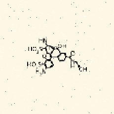 C#CCNC(=O)c1ccc(-c2c3ccc(=N)c(S(=O)(=O)O)c-3oc3c(S(=O)(=O)O)c(N)ccc23)c(C(O)O)c1